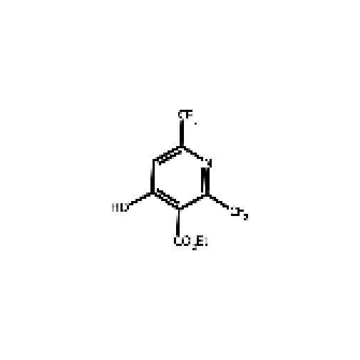 CCOC(=O)c1c(O)cc(C(F)(F)F)nc1C(F)(F)F